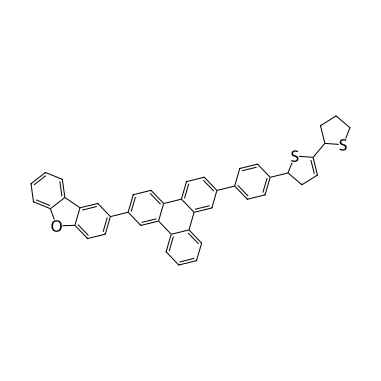 C1=C(C2CCCS2)SC(c2ccc(-c3ccc4c5ccc(-c6ccc7oc8ccccc8c7c6)cc5c5ccccc5c4c3)cc2)C1